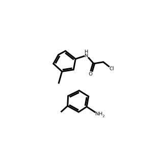 Cc1cccc(N)c1.Cc1cccc(NC(=O)CCl)c1